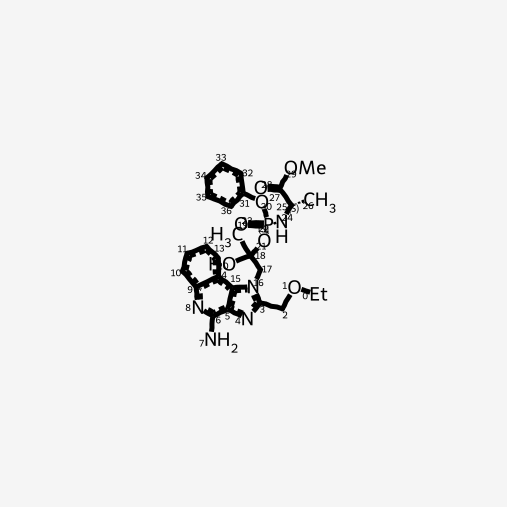 CCOCc1nc2c(N)nc3ccccc3c2n1CC(C)(O)O[P@](=O)(N[C@@H](C)C(=O)OC)Oc1ccccc1